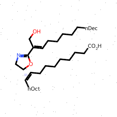 CCCCCCCC/C=C\CCCCCCCC(=O)O.CCCCCCCCCCCCCCCC=C(CO)C1=NCCO1